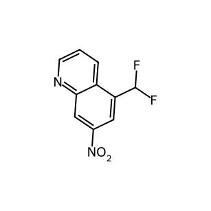 O=[N+]([O-])c1cc(C(F)F)c2cccnc2c1